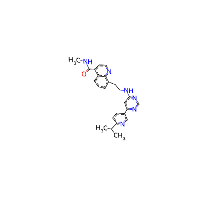 CNC(=O)c1ccnc2c(CCNc3cc(-c4ccc(C(C)C)nc4)ncn3)cccc12